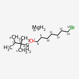 CC(C)C(C)(C)[SiH2]OCCCCCCCBr.[MgH2]